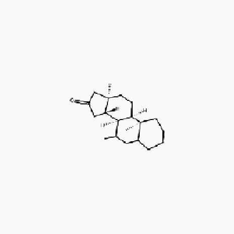 CC1CC2CCCC[C@]2(C)[C@@H]2CC[C@]3(C)CC(=O)C[C@H]3[C@H]12